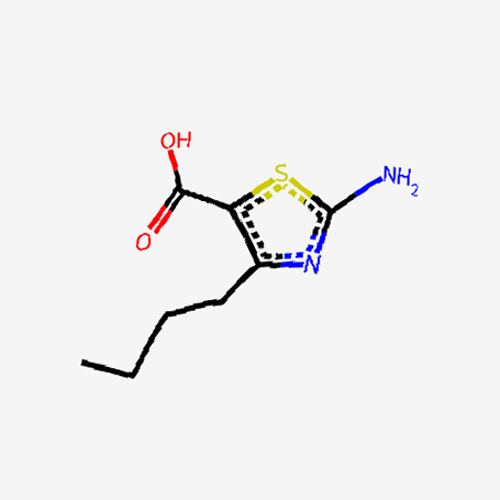 CCCCc1nc(N)sc1C(=O)O